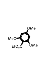 CCOC(=O)c1c(OC)cc(OC)cc1OC